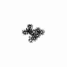 C=CC1=C(C=C)C(C)(C)c2c1ccc1c3ccc(-n4c5ccccc5c5ccccc54)cc3n(-c3ccc(-c4nc(-c5cc#ccc5)nc(-c5ccccc5)n4)c4ccccc34)c21